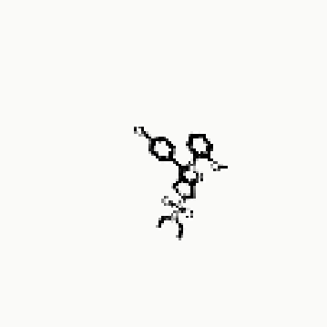 CCN(CC)S(=O)(=O)N1Cc2nn(-c3ccccc3OC)c(-c3ccc(Cl)cc3)c2C1